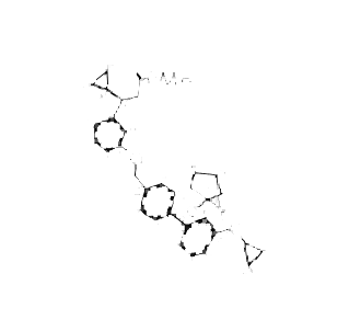 COC(=O)CC(c1cccc(OCc2ccc(-c3cccc(OC4CC4)c3)c([C@@H]3CCCC3(C)C)c2)c1)C1CC1